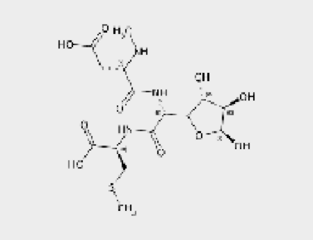 CN[C@@H](CC(=O)O)C(=O)N[C@@H](C(=O)N[C@@H](CSC)C(=O)O)C1O[C@H](O)[C@H](O)[C@H]1O